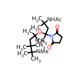 CNC(C)(C)C(C)(C)CC(C)(C)OC(C)(CC(C)(C)NC(C)=O)N1C(=O)CCC1=O